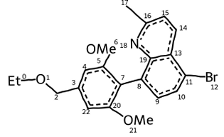 CCOCc1cc(OC)c(-c2ccc(Br)c3ccc(C)nc23)c(OC)c1